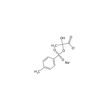 Cc1ccc(S(=O)(=O)OC(C)(O)C(=O)[O-])cc1.[Na+]